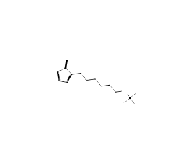 C=C1C=CC=C1CCCCCCOC(C)(C)C